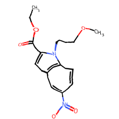 CCOC(=O)c1cc2cc([N+](=O)[O-])ccc2n1CCOC